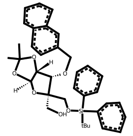 CC1(C)O[C@@H]2O[C@](CO)(CO[Si](c3ccccc3)(c3ccccc3)C(C)(C)C)[C@@H](OCc3ccc4ccccc4c3)[C@H]2O1